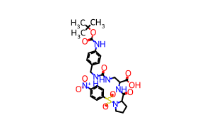 CC(C)(C)OC(=O)Nc1ccc(CNC(=O)NCC(NC(=O)C2CCCN2S(=O)(=O)c2ccc([N+](=O)[O-])cc2)C(=O)O)cc1